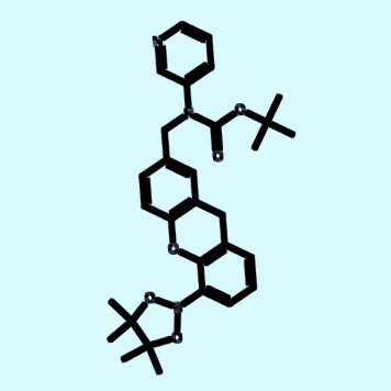 CC(C)(C)OC(=O)N(Cc1ccc2c(c1)Cc1cccc(B3OC(C)(C)C(C)(C)O3)c1O2)c1cccnc1